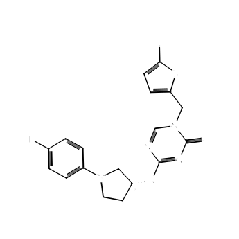 O=c1nc(N[C@@H]2CCN(c3ccc(F)cc3)C2)ncn1Cc1ccc(C(F)(F)F)s1